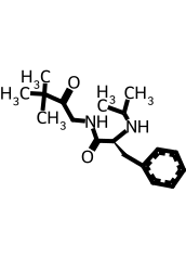 CC(C)N[C@@H](Cc1ccccc1)C(=O)NCC(=O)C(C)(C)C